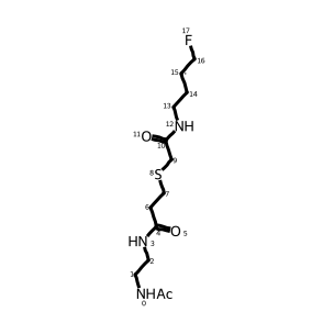 CC(=O)NCCNC(=O)CCSCC(=O)NCC[CH]CF